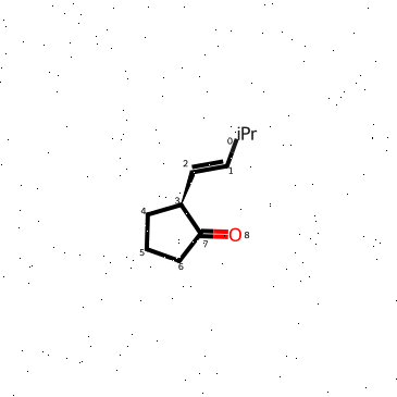 CC(C)/C=C/[C@@H]1CCCC1=O